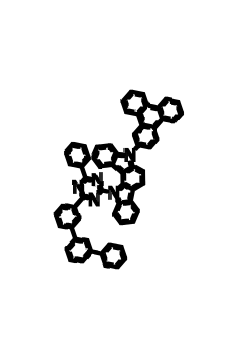 c1ccc(-c2cccc(-c3cccc(-c4nc(-c5ccccc5)nc(-n5c6ccccc6c6ccc7c(c8ccccc8n7-c7ccc8c9ccccc9c9ccccc9c8c7)c65)n4)c3)c2)cc1